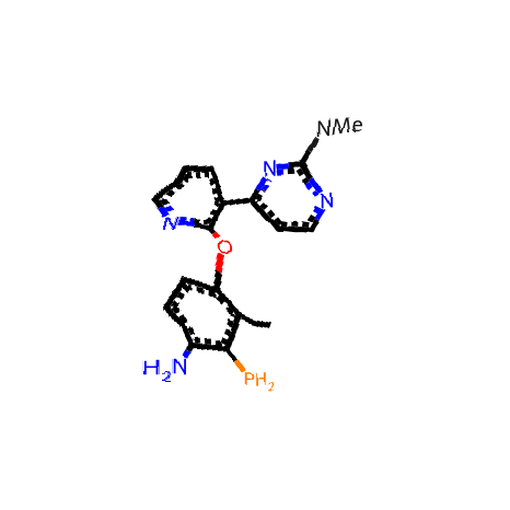 CNc1nccc(-c2cccnc2Oc2ccc(N)c(P)c2C)n1